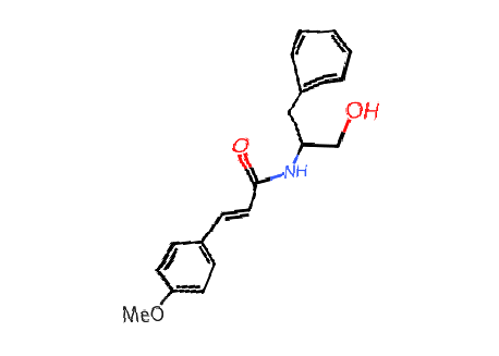 COc1ccc(C=CC(=O)NC(CO)Cc2ccccc2)cc1